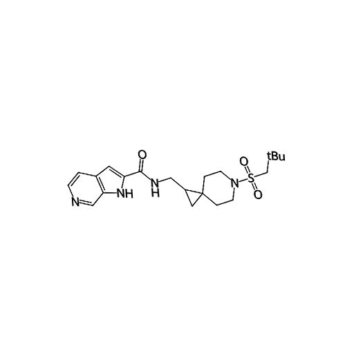 CC(C)(C)CS(=O)(=O)N1CCC2(CC1)CC2CNC(=O)c1cc2ccncc2[nH]1